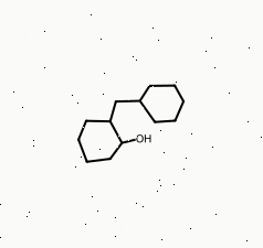 OC1CCCCC1CC1CCCCC1